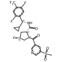 CS(=O)(=O)c1cncc(C(=O)N2C[C@@H](F)C[C@@H]2C(=O)N[C@@H](c2cc(F)c(C(F)(F)F)cc2F)C2CC2)c1